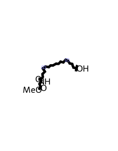 COC(=O)CNC(=O)CCC/C=C\CCCCCCC/C=C\CCCC(C)(C)O